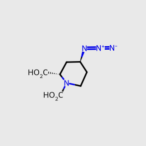 [N-]=[N+]=N[C@H]1CCN(C(=O)O)[C@H](C(=O)O)C1